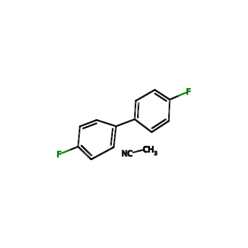 CC#N.Fc1ccc(-c2ccc(F)cc2)cc1